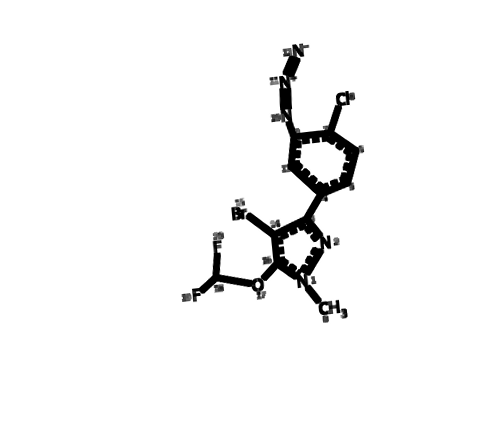 Cn1nc(-c2ccc(Cl)c(N=[N+]=[N-])c2)c(Br)c1OC(F)F